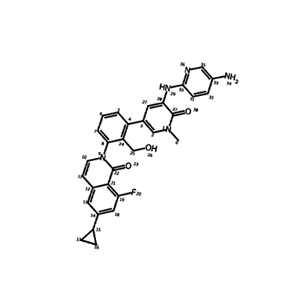 Cn1cc(-c2cccc(-n3ccc4cc(C5CC5)cc(F)c4c3=O)c2CO)cc(Nc2ccc(N)cn2)c1=O